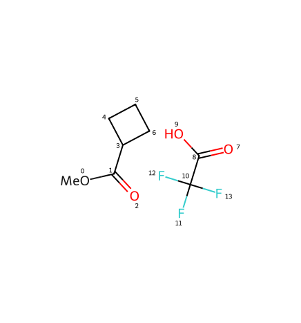 COC(=O)C1CCC1.O=C(O)C(F)(F)F